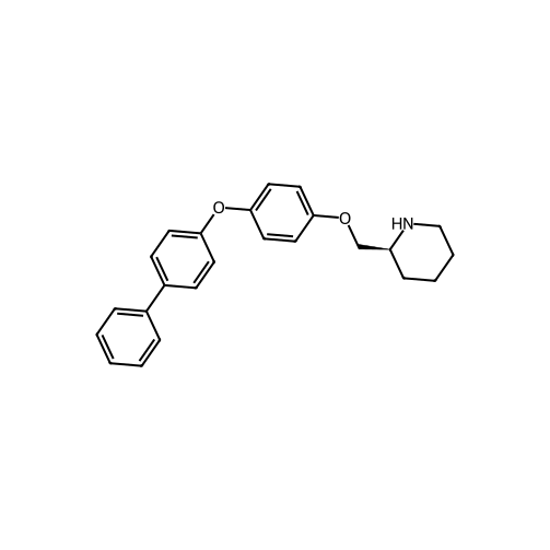 c1ccc(-c2ccc(Oc3ccc(OC[C@@H]4CCCCN4)cc3)cc2)cc1